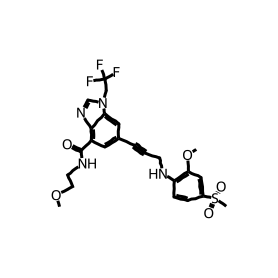 COCCNC(=O)c1cc(C#CCNc2ccc(S(C)(=O)=O)cc2OC)cc2c1ncn2CC(F)(F)F